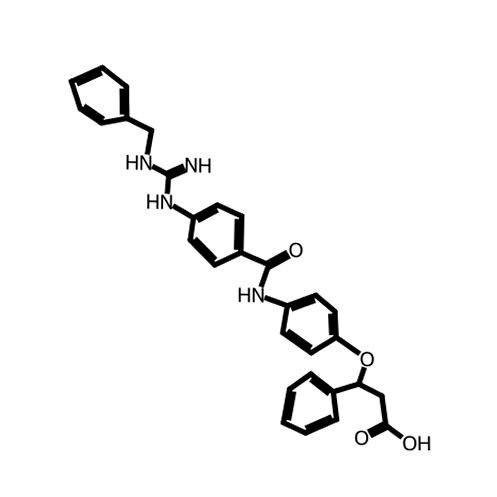 N=C(NCc1ccccc1)Nc1ccc(C(=O)Nc2ccc(OC(CC(=O)O)c3ccccc3)cc2)cc1